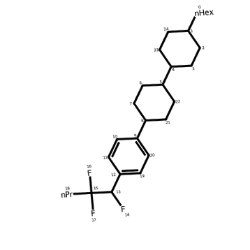 CCCCCCC1CCC(C2CCC(c3ccc(C(F)C(F)(F)CCC)cc3)CC2)CC1